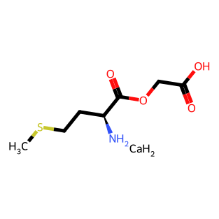 CSCC[C@H](N)C(=O)OCC(=O)O.[CaH2]